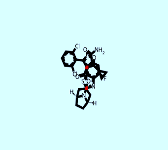 NC(=O)c1cc(F)c2nc(N3[C@@H]4CC[C@H]3C[C@@H](OC(=O)c3c(-c5c(Cl)cccc5Cl)noc3C3CC3)C4)sc2c1